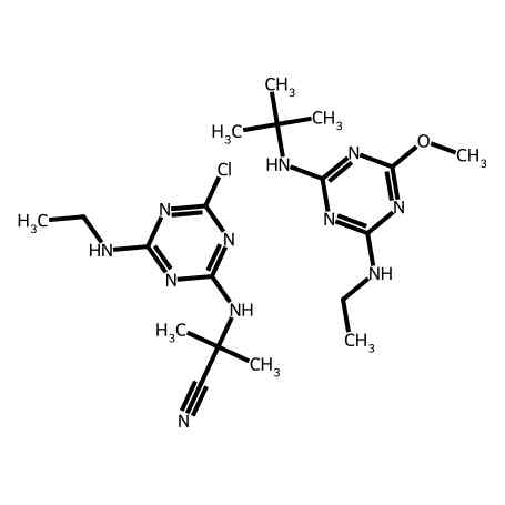 CCNc1nc(Cl)nc(NC(C)(C)C#N)n1.CCNc1nc(NC(C)(C)C)nc(OC)n1